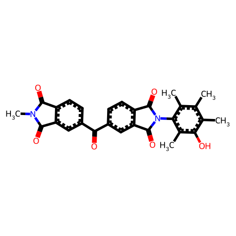 Cc1c(C)c(O)c(C)c(N2C(=O)c3ccc(C(=O)c4ccc5c(c4)C(=O)N(C)C5=O)cc3C2=O)c1C